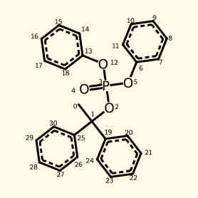 CC(OP(=O)(Oc1ccccc1)Oc1ccccc1)(c1ccccc1)c1ccccc1